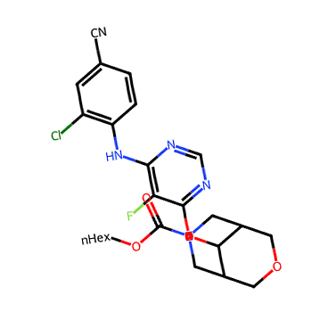 CCCCCCOC(=O)N1CC2COCC(C1)C2Oc1ncnc(Nc2ccc(C#N)cc2Cl)c1F